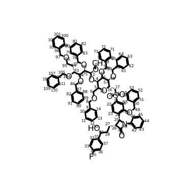 CO[C@@H](O[C@@H]1C(COCc2ccccc2)O[C@@H](CS(=O)(=O)c2ccc([C@@H]3[C@@H](CC[C@H](O)c4ccc(F)cc4)C(=O)N3c3ccccc3)c(OCc3ccccc3)c2)[C@@H](OCc2ccccc2)C1OCc1ccccc1)[C@@H](OCc1ccccc1)C(OCc1ccccc1)[C@@H](CCOCc1ccccc1)OCc1ccccc1